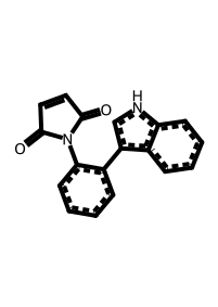 O=C1C=CC(=O)N1c1ccccc1-c1c[nH]c2ccccc12